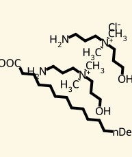 CCCCCCCCCCCCCCCCCCCCCC(=O)[O-].C[N+](C)(CCCN)CCCO.C[N+](C)(CCCN)CCCO.[Cl-]